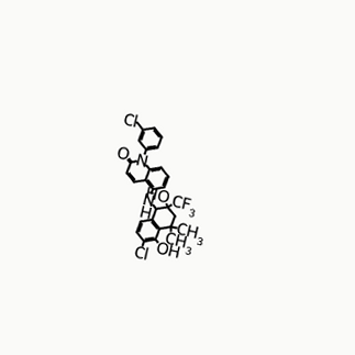 CC1(C)CC(O)(C(F)(F)F)C(Nc2cccc3c2ccc(=O)n3-c2cccc(Cl)c2)c2ccc(Cl)c(O)c21